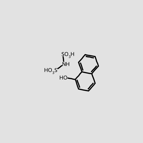 O=S(=O)(O)NS(=O)(=O)O.Oc1cccc2ccccc12